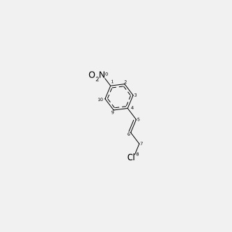 O=[N+]([O-])c1ccc(C=CCCl)cc1